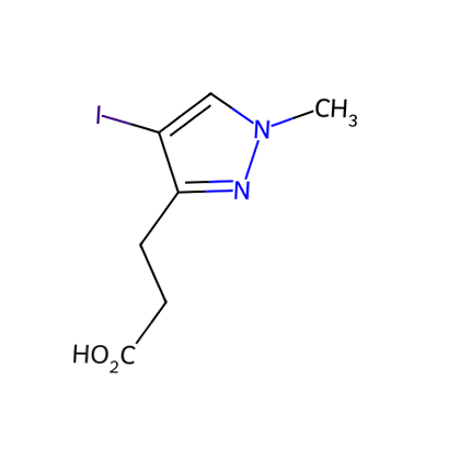 Cn1cc(I)c(CCC(=O)O)n1